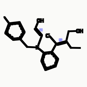 CC/C(CO)=C(/Cl)c1ccccc1N(/C=C/O)Cc1ccc(C)cc1